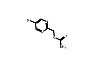 NC(=O)OCc1ncc(Br)cn1